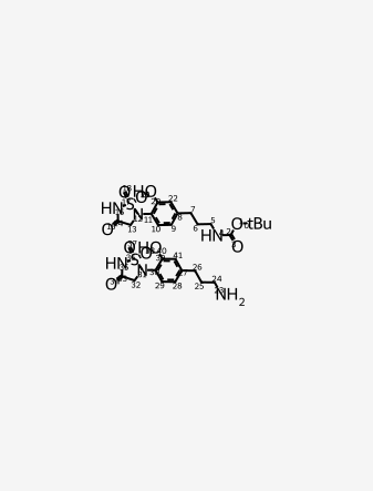 CC(C)(C)OC(=O)NCCCc1ccc(N2CC(=O)NS2(=O)=O)c(O)c1.NCCCc1ccc(N2CC(=O)NS2(=O)=O)c(O)c1